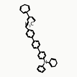 C\C=C/C(=C\C=C\c1ccc(-c2ccc(-c3ccc(N(C4=CCCC=C4)c4ccccc4)cc3)cc2)cc1)C1=CC=CCC=C1